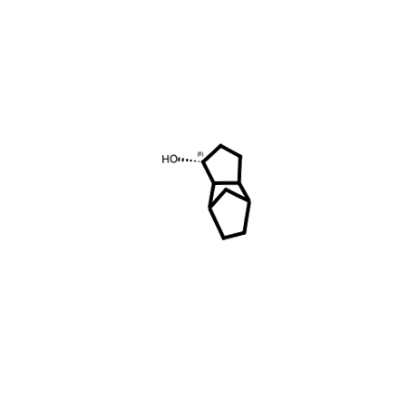 O[C@@H]1CCC2C3CCC(C3)C21